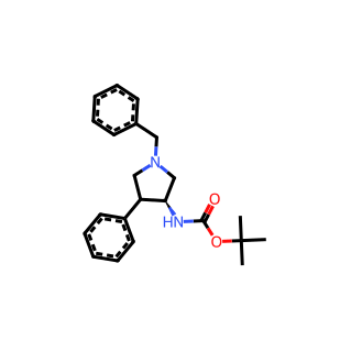 CC(C)(C)OC(=O)N[C@@H]1CN(Cc2ccccc2)CC1c1ccccc1